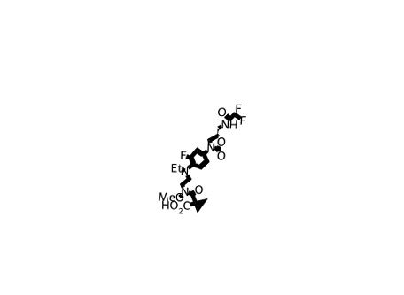 CCN(CCN(OC)C(=O)C1(C(=O)O)CC1)c1ccc(N2C[C@H](CNC(=O)C(F)F)OC2=O)cc1F